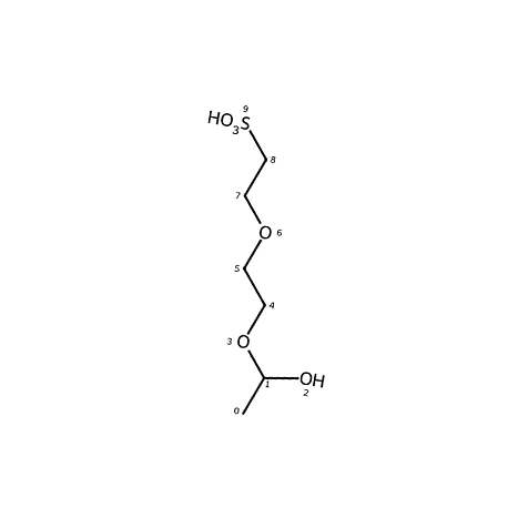 CC(O)OCCOCCS(=O)(=O)O